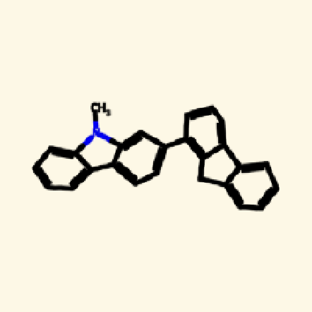 Cn1c2ccccc2c2ccc(-c3cccc4c3Cc3ccccc3-4)cc21